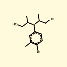 Cc1cc(N(C(C)CO)C(C)CO)ccc1Br